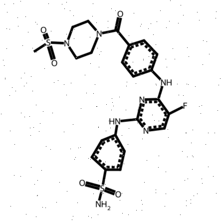 CS(=O)(=O)N1CCN(C(=O)c2ccc(Nc3nc(Nc4ccc(S(N)(=O)=O)cc4)ncc3F)cc2)CC1